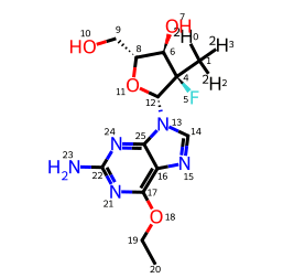 [2H]C([2H])([2H])[C@@]1(F)[C@H](O)[C@@H](CO)O[C@H]1n1cnc2c(OCC)nc(N)nc21